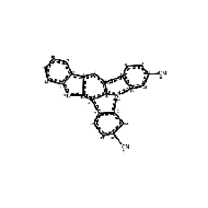 N#Cc1ccc2c3cc4c5ccccc5oc4c4c5ccc(C#N)cc5n(c2c1)c34